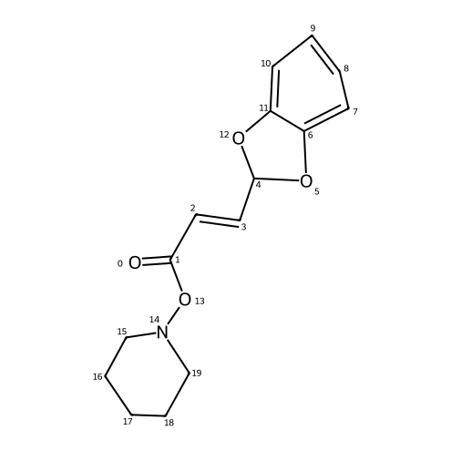 O=C(C=CC1Oc2ccccc2O1)ON1CCCCC1